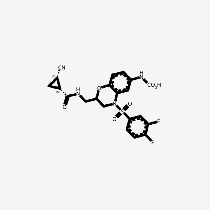 N#C[C@H]1C[C@H]1C(=O)NCC1CN(S(=O)(=O)c2ccc(F)c(F)c2)c2cc(NC(=O)O)ccc2O1